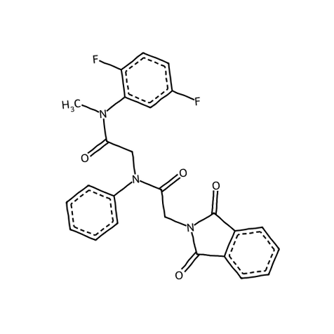 CN(C(=O)CN(C(=O)CN1C(=O)c2ccccc2C1=O)c1ccccc1)c1cc(F)ccc1F